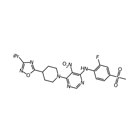 CC(C)c1noc(C2CCN(c3ncnc(Nc4ccc(S(C)(=O)=O)cc4F)c3[N+](=O)[O-])CC2)n1